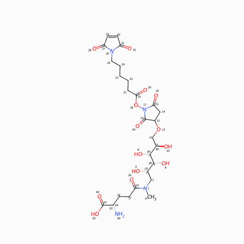 CN(C[C@H](O)[C@@H](O)[C@H](O)[C@H](O)COC1CC(=O)N(OC(=O)CCCCCN2C(=O)C=CC2=O)C1=O)C(=O)CC[C@H](N)C(=O)O